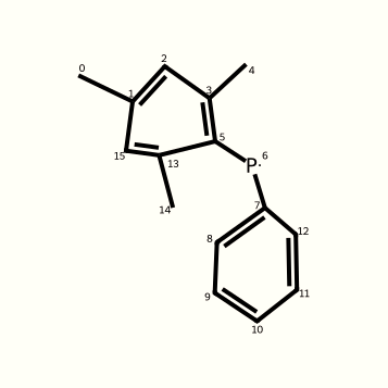 Cc1cc(C)c([P]c2ccccc2)c(C)c1